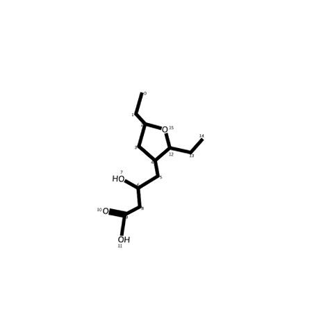 CCC1CC(CC(O)CC(=O)O)C(CC)O1